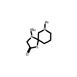 CC(C)N1CCCC2(C1)SC(=O)CN2C(C)(C)C